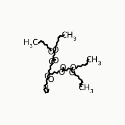 CC/C=C\CCCCOC(CCC(=O)OCCCCC(CCCCOC(=O)CCC(OCCCC/C=C\CC)OCCCC/C=C\CC)OC(=O)CCCN1CCCC1)OCCCC/C=C\CC